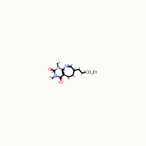 CCOC(=O)CCC1C=Nc2c(c(=O)n(C)c(=O)n2C)CC1